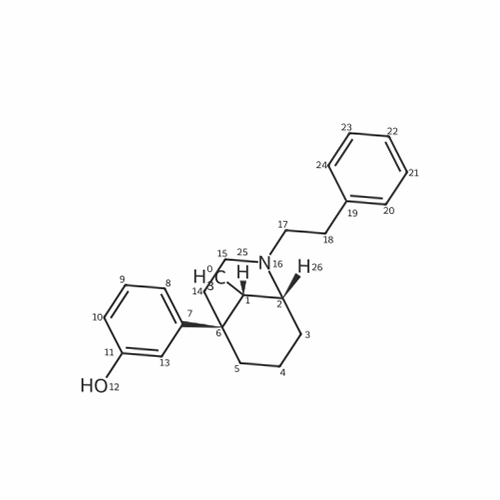 C[C@@H]1[C@H]2CCC[C@]1(c1cccc(O)c1)CCN2CCc1ccccc1